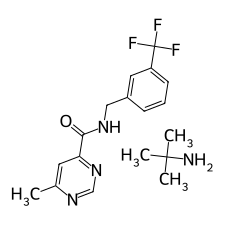 CC(C)(C)N.Cc1cc(C(=O)NCc2cccc(C(F)(F)F)c2)ncn1